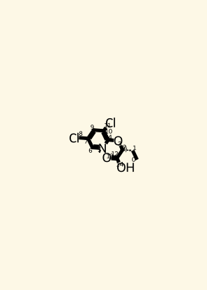 CC[C@@H](Oc1ncc(Cl)cc1Cl)C(=O)O